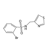 O=S(=O)(NCc1cscn1)c1ccccc1Br